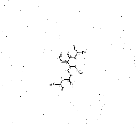 CCCC(F)OC(=O)CCC(CN)c1ccccc1OC(F)F